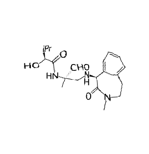 CC(C)[C@H](O)C(=O)N[C@@](C)(C=O)CN[C@@H]1C(=O)N(C)CCc2ccccc21